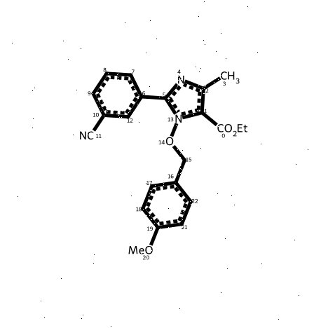 CCOC(=O)c1c(C)nc(-c2cccc(C#N)c2)n1OCc1ccc(OC)cc1